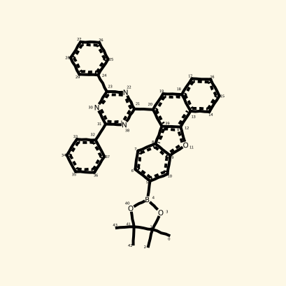 CC1(C)OB(c2ccc3c(c2)oc2c4ccccc4cc(-c4nc(-c5ccccc5)nc(-c5ccccc5)n4)c32)OC1(C)C